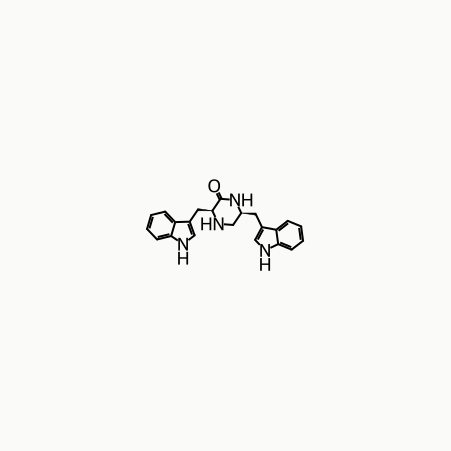 O=C1N[C@@H](Cc2c[nH]c3ccccc23)CN[C@H]1Cc1c[nH]c2ccccc12